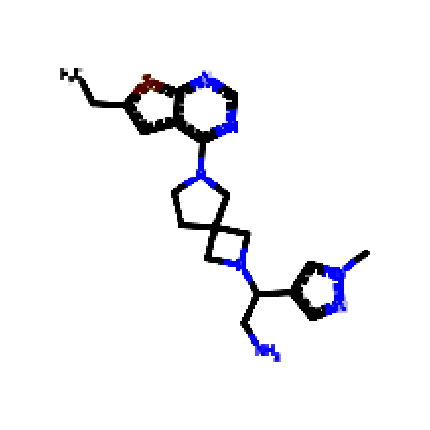 Cn1cc(C(CN)N2CC3(CCN(c4ncnc5sc(CC(F)(F)F)cc45)C3)C2)cn1